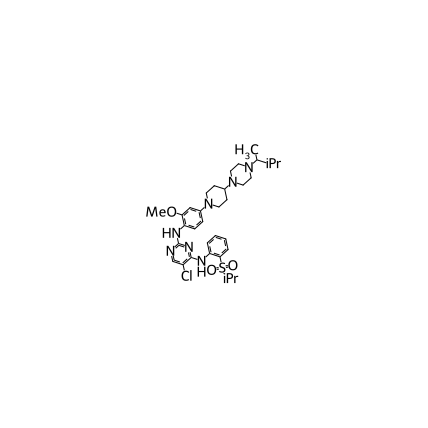 COc1cc(N2CCC(N3CCN(C(C)C(C)C)CC3)CC2)ccc1Nc1ncc(Cl)c(Nc2ccccc2S(=O)(=O)C(C)C)n1